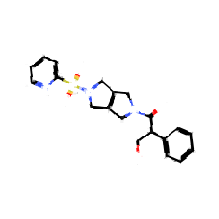 O=C(C(CO)c1ccccc1)N1CC2=C(C1)CN(S(=O)(=O)c1ccccn1)C2